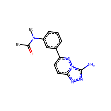 CCC(=O)N(CC)c1cccc(-c2ccc3nnc(N)n3n2)c1